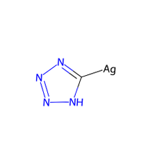 [Ag][c]1nnn[nH]1